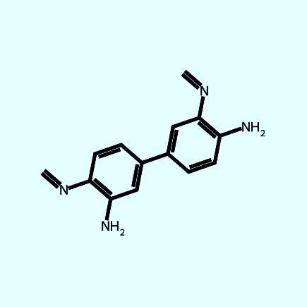 C=Nc1ccc(-c2ccc(N)c(N=C)c2)cc1N